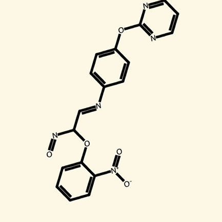 O=NC(C=Nc1ccc(Oc2ncccn2)cc1)Oc1ccccc1[N+](=O)[O-]